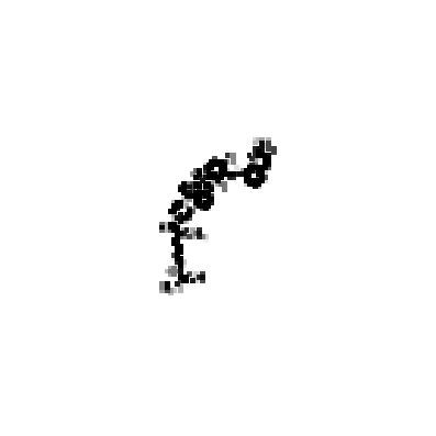 Cc1ccc2cccc(OCc3c(Cl)ccc(S(=O)(=O)NC4(C(=O)N5CCN(C(=O)[C@@H](N)CCCCNC(=N)N)CC5)CCCC4)c3Cl)c2n1